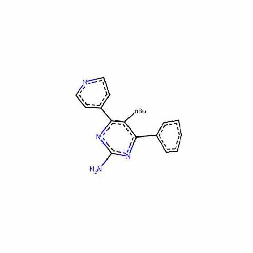 CCCCc1c(-c2ccccc2)nc(N)nc1-c1ccncc1